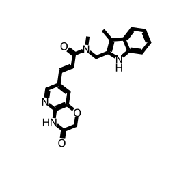 Cc1c(CN(C)C(=O)C=Cc2cnc3c(c2)OCC(=O)N3)[nH]c2ccccc12